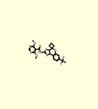 COc1ncnc(OC)c1C(=O)NC1=NC2c3ccc(C(F)(F)F)cc3OC3(CCC3)C2S1